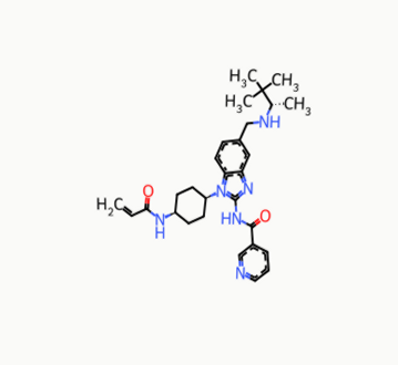 C=CC(=O)N[C@H]1CC[C@@H](n2c(NC(=O)c3cccnc3)nc3cc(CN[C@@H](C)C(C)(C)C)ccc32)CC1